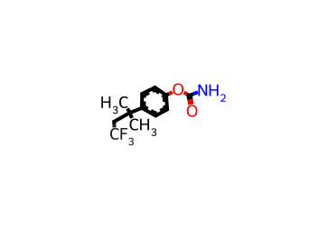 CC(C)(CC(F)(F)F)c1ccc(OC(N)=O)cc1